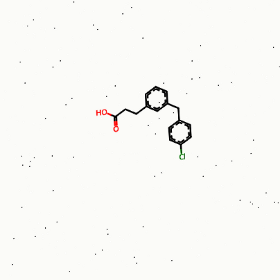 O=C(O)CCc1cccc(Cc2ccc(Cl)cc2)c1